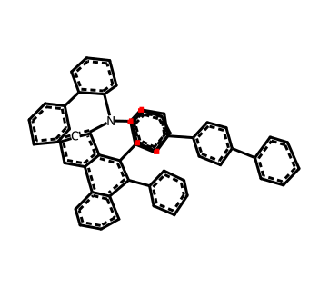 c1ccc(-c2ccc(-c3ccc(N(c4ccccc4-c4ccccc4)c4cccc5c4c(-c4ccccc4)c(-c4ccccc4)c4ccccc45)cc3)cc2)cc1